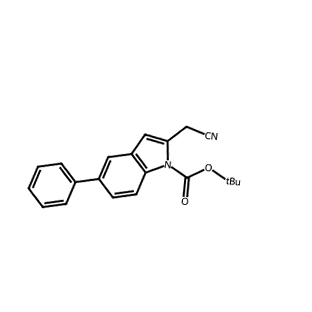 CC(C)(C)OC(=O)n1c(CC#N)cc2cc(-c3ccccc3)ccc21